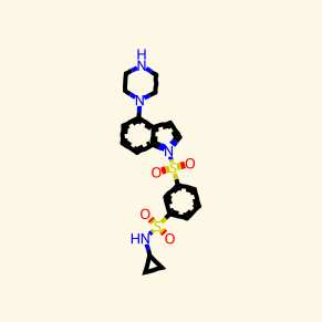 O=S(=O)(NC1CC1)c1cccc(S(=O)(=O)n2ccc3c(N4CCNCC4)cccc32)c1